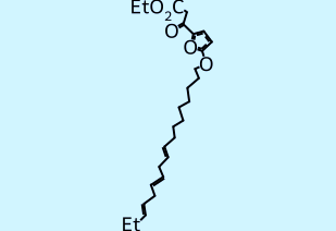 CC/C=C/C/C=C/C/C=C/CCCCCCCCOc1ccc(C(=O)CC(=O)OCC)o1